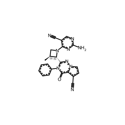 C[C@H]1CN(c2nc(N)ncc2C#N)[C@@H]1c1nn2ccc(C#N)c2c(=O)n1-c1ccccc1